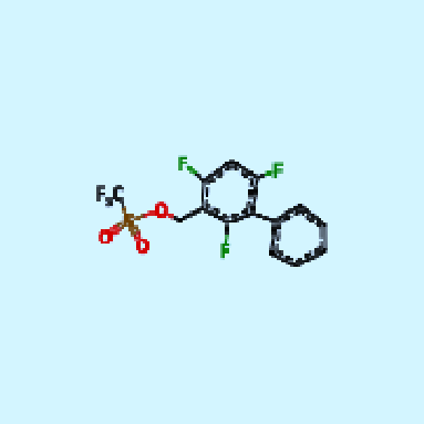 O=S(=O)(OCc1c(F)cc(F)c(-c2ccccc2)c1F)C(F)(F)F